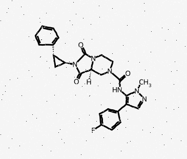 Cn1ncc(-c2ccc(F)cc2)c1NC(=O)N1CCN2C(=O)N([C@H]3C[C@@H]3c3ccccc3)C(=O)[C@@H]2C1